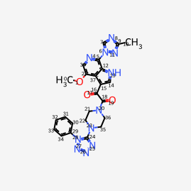 COc1cnc(-n2cnc(C)n2)c2[nH]cc(C(=O)C(=O)N3CCN(c4nnnn4-c4ccccc4)CC3)c12